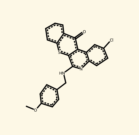 COc1ccc(CNc2nc3ccc(Cl)cc3c3c(=O)c4ccccc4sc23)cc1